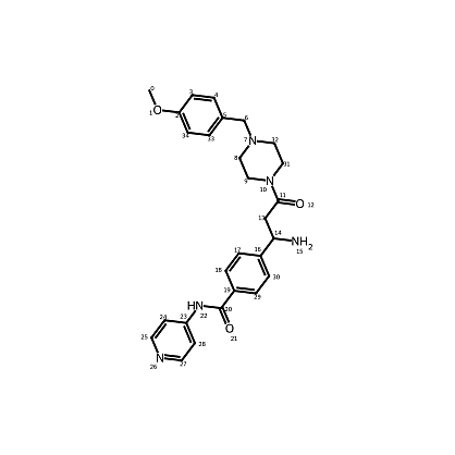 COc1ccc(CN2CCN(C(=O)CC(N)c3ccc(C(=O)Nc4ccncc4)cc3)CC2)cc1